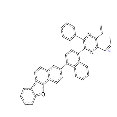 C=Cc1nc(-c2ccccc2)c(-c2ccc(-c3ccc4c(ccc5c6ccccc6oc45)c3)c3ccccc23)nc1/C=C\C